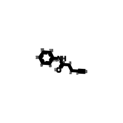 C#CCCC(=O)Nc1ccccc1